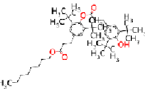 CCCCCCCCOC(=O)CCc1cc(C(C)(C)C)c(OC(=O)CCc2cc(C(C)(C)C)c(O)c(C(C)(C)C)c2)c(C(C)(C)C)c1